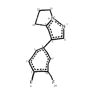 Fc1ccc(-c2cnn3c2CCC3)cc1F